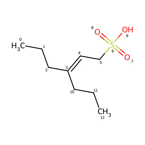 CCCC(=CCS(=O)(=O)O)CCC